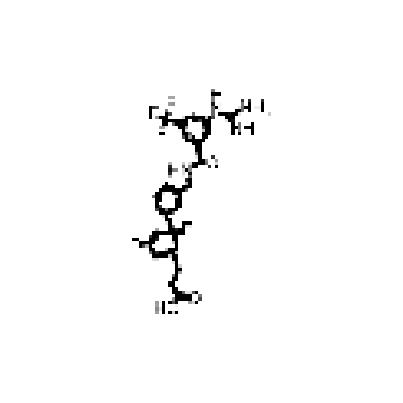 N=C(N)Nc1cc(C(=O)NCc2cccc(C3(F)C=C(F)C=C(CCC(=O)O)C3)c2)cc(C(F)(F)F)c1